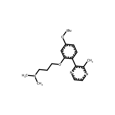 Cc1nccnc1-c1ccc(OC(C)(C)C)cc1OCCCN(C)C